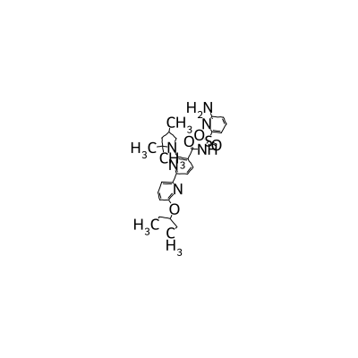 CCC(CC)Oc1cccc(-c2ccc(C(=O)NS(=O)(=O)c3cccc(N)n3)c(N3CC(C)CC3(C)C)n2)n1